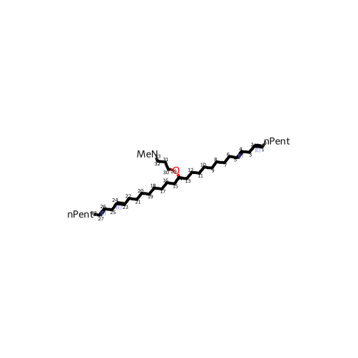 CCCCC/C=C/C/C=C/CCCCCCCCC(CCCCCCCC/C=C/C/C=C/CCCCC)OCCCNC